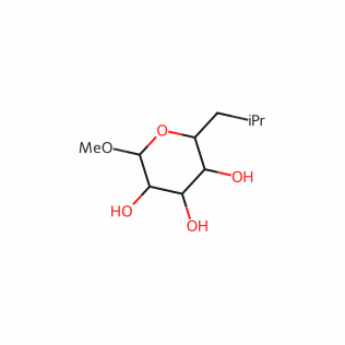 COC1OC(CC(C)C)C(O)C(O)C1O